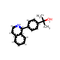 CC(C)(O)c1ccc(-c2nccc3ccccc23)cc1